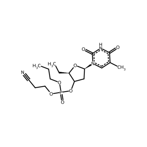 CCCOP(=O)(OCCC#N)OC1C[C@H](n2cc(C)c(=O)[nH]c2=O)O[C@@H]1CC